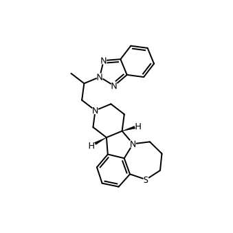 CC(CN1CC[C@H]2[C@@H](C1)c1cccc3c1N2CCCS3)n1nc2ccccc2n1